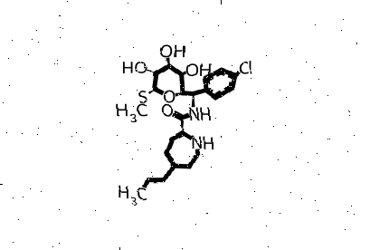 CCCC1CCN[C@H](C(=O)N[C@H](c2ccc(Cl)cc2)[C@H]2O[C@H](SC)[C@H](O)[C@@H](O)[C@H]2O)CC1